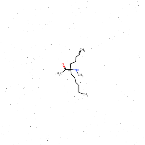 C=CCCC[C@](CCCC=CC)(NC)C(C)=O